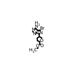 CCOC(=O)C1CCC(c2nc(Br)c3c(N)ncnn23)CO1